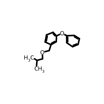 CC(C)COCc1cccc(Oc2ccccc2)c1